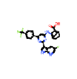 O=C(O)C1C2CCC(CC2)C1Nc1cc(-c2ccc(C(F)(F)F)cc2)nc(-c2c[nH]c3ncc(F)cc23)n1